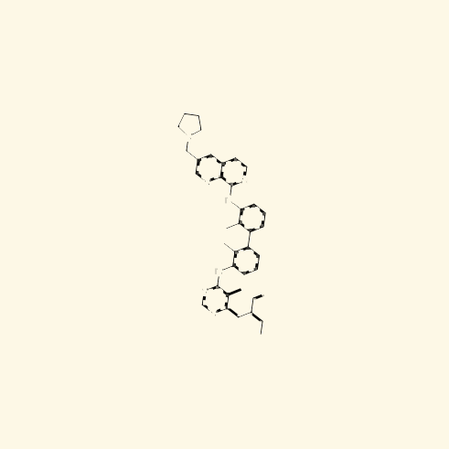 C=c1c(Nc2cccc(-c3cccc(Nc4nccc5cc(CN6CCCC6)cnc45)c3C)c2C)ncn/c1=C/C(C=O)=C\C